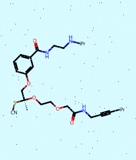 CC(C)C#CCNC(=O)COCCO[C@](C)(COc1cccc(C(=O)NCCNC(C)C)c1)SC#N